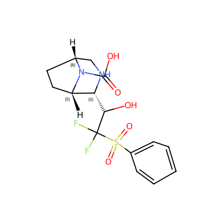 O=C(O)N1[C@@H]2CC[C@H]1[C@@H](C(O)C(F)(F)S(=O)(=O)c1ccccc1)NC2